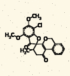 COc1cc(OC)c2c(c1Cl)OC1(C2=O)C2=C(C(=O)C[C@H]1C)c1ccccc1CO2